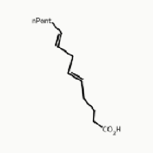 CCCCC/C=C/C/C=C/CCCC(=O)O